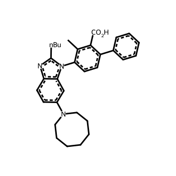 CCCCc1nc2ccc(N3CCCCCCC3)cc2n1-c1ccc(-c2ccccc2)c(C(=O)O)c1C